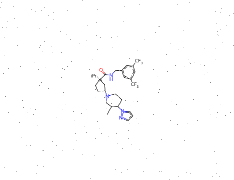 CC1CN(C2CC[C@](C(=O)NCc3cc(C(F)(F)F)cc(C(F)(F)F)c3)(C(C)C)C2)CCC1n1cccn1